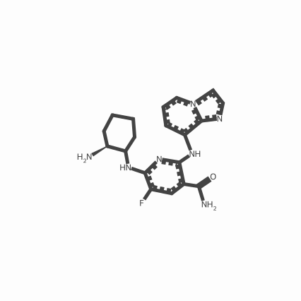 NC(=O)c1cc(F)c(NC2CCCC[C@@H]2N)nc1Nc1cccn2ccnc12